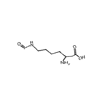 NC(CCCCN[C]=O)C(=O)O